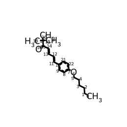 CCCCCCOc1ccc(/C=C/C=C/C(=O)C(C)(C)C)cc1